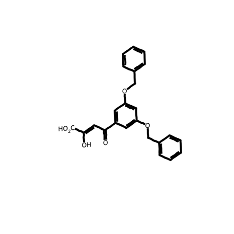 O=C(O)/C(O)=C/C(=O)c1cc(OCc2ccccc2)cc(OCc2ccccc2)c1